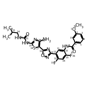 COc1cccc(C(=O)Nc2cc(-c3noc(-c4sc(NC(=O)NCC(C)C)nc4N)n3)c(F)cc2F)c1